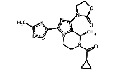 Cc1nsc(-c2nc(N3CCOC3=O)c3n2CCN(C(=O)C2CC2)[C@@H]3C)n1